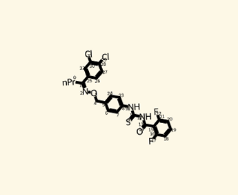 CCCC(=NOCc1ccc(NC(=S)NC(=O)c2c(F)cccc2F)cc1)c1ccc(Cl)c(Cl)c1